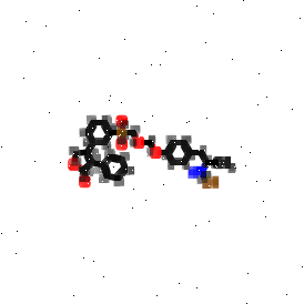 CC(Cc1ccc(OCOCS(=O)(=O)c2cccc(C3=C(c4ccccc4)C(=O)OC3)c2)cc1)NS